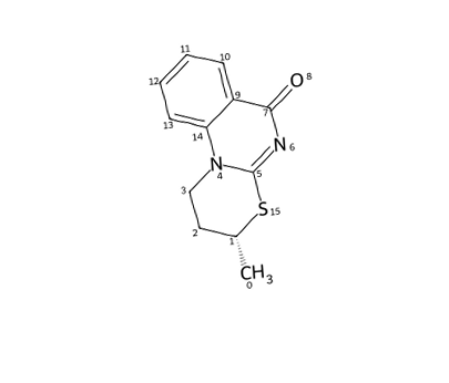 C[C@@H]1CCn2c(nc(=O)c3ccccc32)S1